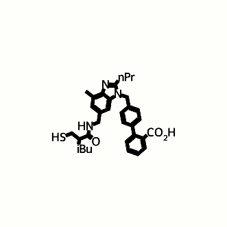 CCCc1nc2c(C)cc(CNC(=O)C(CS)C(C)CC)cc2n1Cc1ccc(-c2ccccc2C(=O)O)cc1